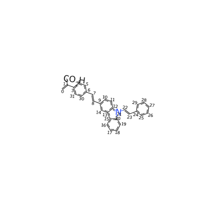 C=C(C(=O)O)c1ccc(C=Cc2ccc3c(c2)c2ccccc2n3/C=C/c2ccccc2)cc1